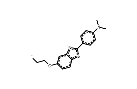 CN(C)c1ccc(-c2nc3cc(OCCF)ccc3s2)cc1